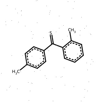 Cc1ccc(C(=S)c2ccccc2C)cc1